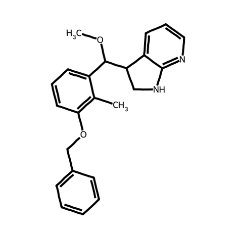 COC(c1cccc(OCc2ccccc2)c1C)C1CNc2ncccc21